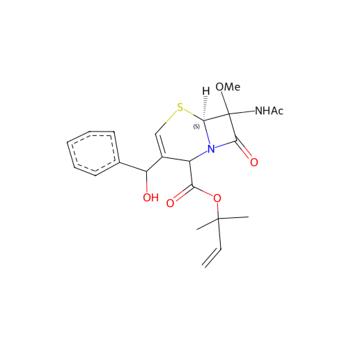 C=CC(C)(C)OC(=O)C1C(C(O)c2ccccc2)=CS[C@@H]2N1C(=O)C2(NC(C)=O)OC